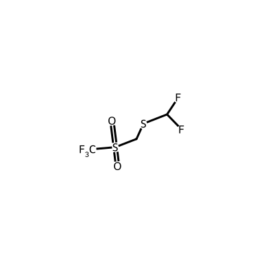 O=S(=O)(CSC(F)F)C(F)(F)F